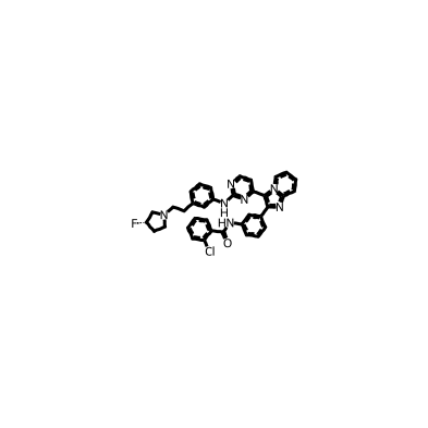 O=C(Nc1cccc(-c2nc3ccccn3c2-c2ccnc(Nc3cccc(CCN4CC[C@H](F)C4)c3)n2)c1)c1ccccc1Cl